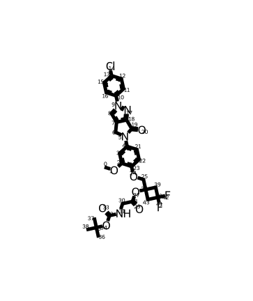 COc1cc(N2Cc3cn(-c4ccc(Cl)cc4)nc3C2=O)ccc1OCC1(OC(=O)CNC(=O)OC(C)(C)C)CC(F)(F)C1